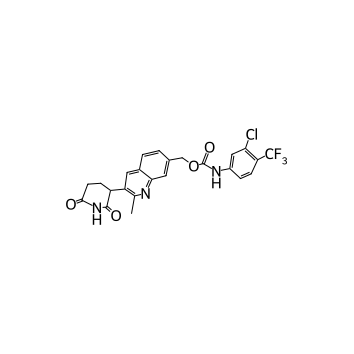 Cc1nc2cc(COC(=O)Nc3ccc(C(F)(F)F)c(Cl)c3)ccc2cc1C1CCC(=O)NC1=O